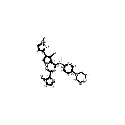 Cc1c(-c2ccn(C)n2)cn2nc(-c3nccn3C)nc(Nc3ccc(N4CCOCC4)cn3)c12